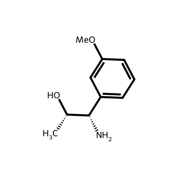 COc1cccc([C@H](N)[C@H](C)O)c1